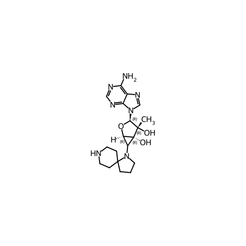 C[C@]1(O)[C@H](n2cnc3c(N)ncnc32)O[C@@H]2C(N3CCCC34CCNCC4)[C@@]21O